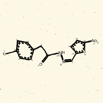 O=C(Cc1ccc(Cl)cc1)N/N=C\c1ccc([N+](=O)[O-])o1